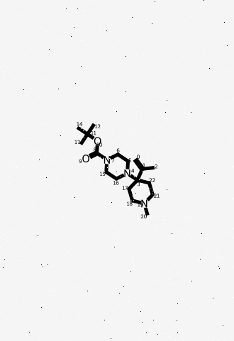 C=C(C)C1(N2CCN(C(=O)OC(C)(C)C)CC2)CCN(C)CC1